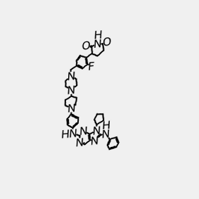 O=C1CCC(c2ccc(CN3CCN(C4CCN(c5ccc(Nc6ncc7nc(Nc8ccccc8)n(C8CCCC8)c7n6)cc5)CC4)CC3)cc2F)C(=O)N1